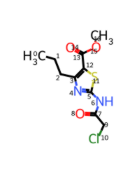 CCCc1nc(NC(=O)CCl)sc1C(=O)OC